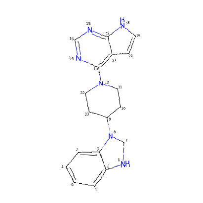 c1ccc2c(c1)NCN2C1CCN(c2ncnc3[nH]ccc23)CC1